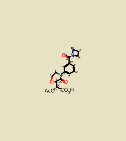 CC(=O)O[C@@H](C(=O)O)[C@H]1OCCN(c2cccc(C(=O)N3CCC3)c2)C1=O